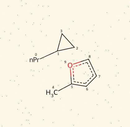 CCCC1CC1.Cc1ccco1